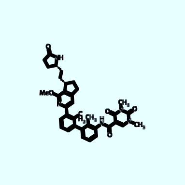 COc1nc(-c2cccc(-c3cccc(NC(=O)c4cn(C)c(=O)n(C)c4=O)c3C)c2C)cc2c1[C@H](CC[C@@H]1CCC(=O)N1)CC2